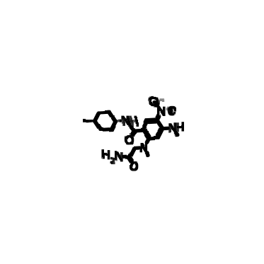 CNc1cc(N(C)CC(N)=O)c(C(=O)N[C@H]2CC[C@H](C)CC2)cc1[N+](=O)[O-]